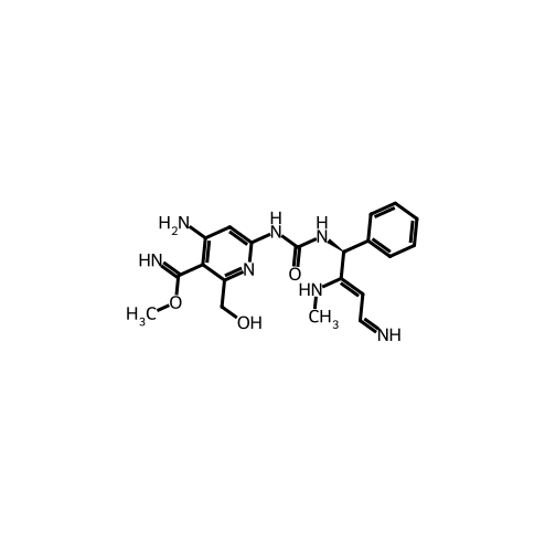 CN/C(=C\C=N)[C@@H](NC(=O)Nc1cc(N)c(C(=N)OC)c(CO)n1)c1ccccc1